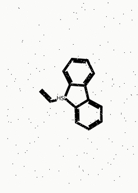 C=C[SiH]1c2ccccc2-c2ccccc21